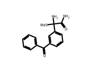 CSC(N)(C(N)=O)c1cccc(C(=O)c2ccccc2)c1